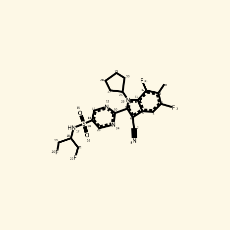 Cc1c(F)cc2c(C#N)c(-c3ncc(S(=O)(=O)NC(CF)CF)cn3)n(C3CCCC3)c2c1F